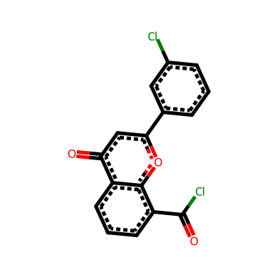 O=C(Cl)c1cccc2c(=O)cc(-c3cccc(Cl)c3)oc12